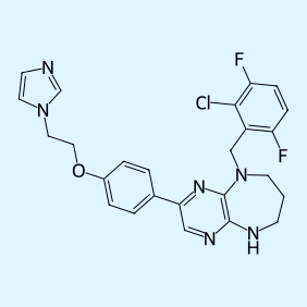 Fc1ccc(F)c(CN2CCCNc3ncc(-c4ccc(OCCn5ccnc5)cc4)nc32)c1Cl